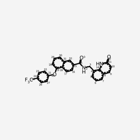 O=C(NCc1cccc2ccc(=O)[nH]c12)c1ccc2c(Oc3ccc(C(F)(F)F)cc3)cccc2c1